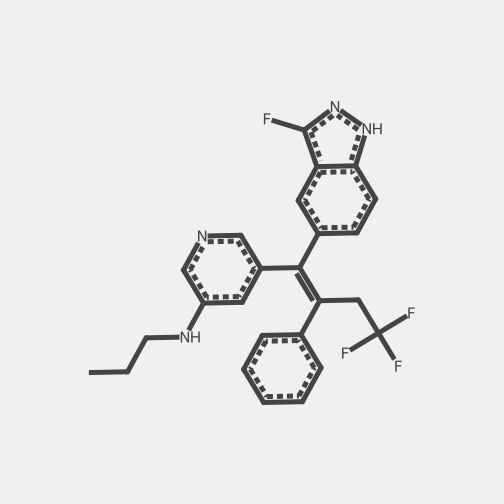 CCCNc1cncc(/C(=C(/CC(F)(F)F)c2ccccc2)c2ccc3[nH]nc(F)c3c2)c1